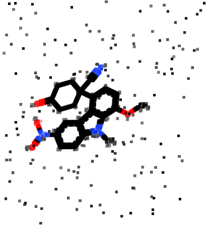 COc1ccc(C2(C#N)CCC(=O)CC2)c2c3cc([N+](=O)[O-])ccc3n(C)c12